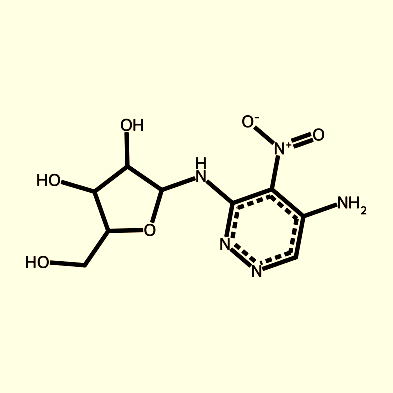 Nc1cnnc(NC2OC(CO)C(O)C2O)c1[N+](=O)[O-]